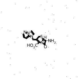 N[C@@H]1C(=O)N2C(C(=O)O)=C(Cn3cc[n+]4ncccc34)CS[C@H]12